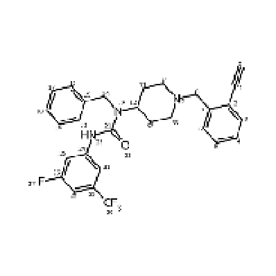 C#Cc1ccccc1CN1CCC(N(Cc2ccccc2)C(=O)Nc2cc(F)cc(C(F)(F)F)c2)CC1